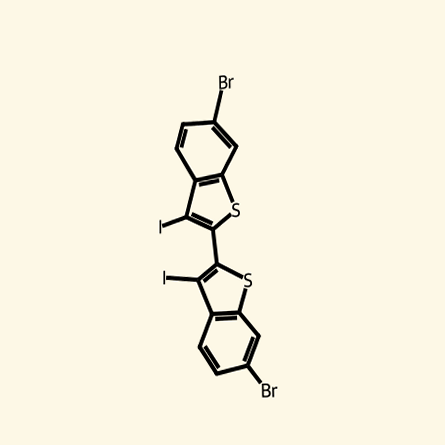 Brc1ccc2c(I)c(-c3sc4cc(Br)ccc4c3I)sc2c1